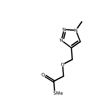 CSC(=O)COCc1cn(C)nn1